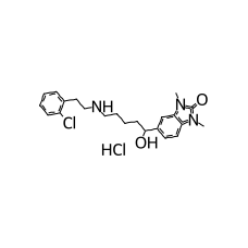 Cl.Cn1c(=O)n(C)c2cc(C(O)CCCCNCCc3ccccc3Cl)ccc21